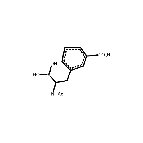 CC(=O)NC(Cc1cccc(C(=O)O)c1)B(O)O